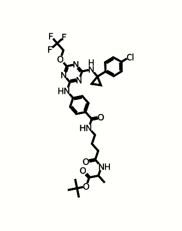 CC(NC(=O)CCCNC(=O)c1ccc(Nc2nc(NC3(c4ccc(Cl)cc4)CC3)nc(OCC(F)(F)F)n2)cc1)C(=O)OC(C)(C)C